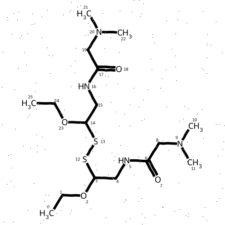 CCOC(CNC(=O)CN(C)C)SSC(CNC(=O)CN(C)C)OCC